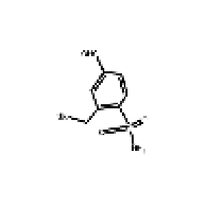 CC(C)(C)Cc1cc(C=O)ccc1S(N)(=O)=O